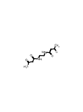 CC(=O)CC(=O)NCCNC(=O)CC(C)=O